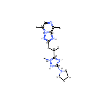 Cc1ncc(C)n2nc(CC(C)c3nc(N4CCCC4)nn3C)nc12